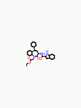 CCOC(=O)CN1C(=O)C(NC(=O)c2cc3ccccc3[nH]2)C=C(c2ccccc2)c2ccccc21